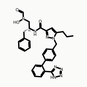 CCCc1cc(C(=O)N[C@H](Cc2ccccc2)CN(O)C=O)nn1Cc1ccc(-c2ccccc2-c2nnn[nH]2)cc1